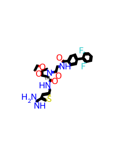 N=C(N)c1csc(CNC(=O)[C@@H]2CC3(CN2C(=O)CNC(=O)c2ccc(-c4c(F)cccc4F)cc2)OCCO3)c1